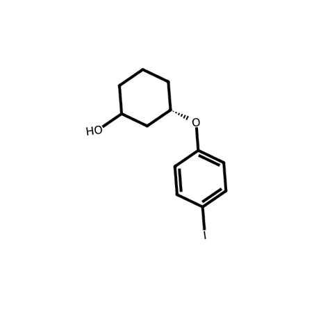 OC1CCC[C@H](Oc2ccc(I)cc2)C1